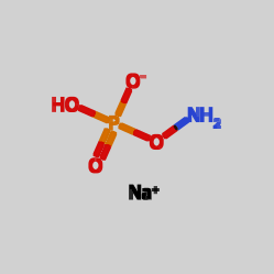 NOP(=O)([O-])O.[Na+]